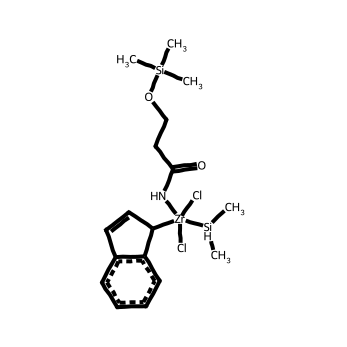 C[SiH](C)[Zr]([Cl])([Cl])([NH]C(=O)CCO[Si](C)(C)C)[CH]1C=Cc2ccccc21